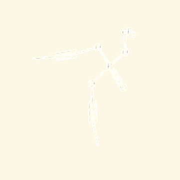 CC#COP(=O)(OC#CC)OC(F)(F)F